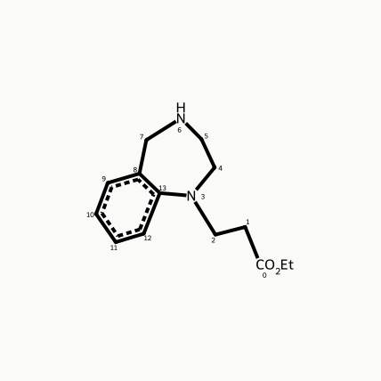 CCOC(=O)CCN1CCNCc2ccccc21